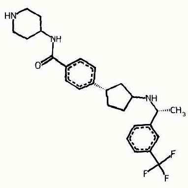 C[C@@H](NC1CC[C@H](c2ccc(C(=O)NC3CCNCC3)cc2)C1)c1cccc(C(F)(F)F)c1